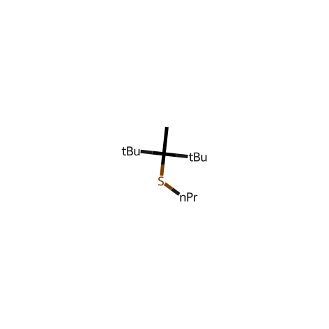 CCCSC(C)(C(C)(C)C)C(C)(C)C